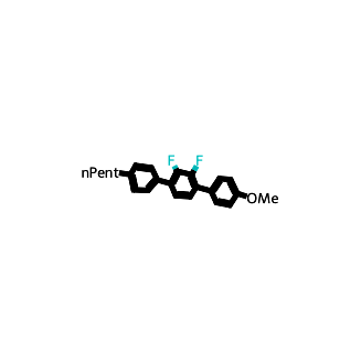 CCCCCc1ccc(-c2ccc(-c3ccc(OC)cc3)c(F)c2F)cc1